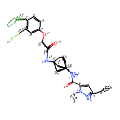 Cn1nc(C(C)(C)C)cc1C(=O)NC12CC(NC(=O)COc3ccc(Cl)c(F)c3)(C1)C2